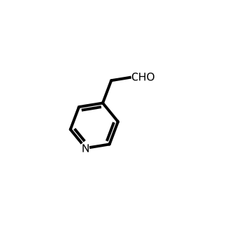 O=CCc1ccncc1